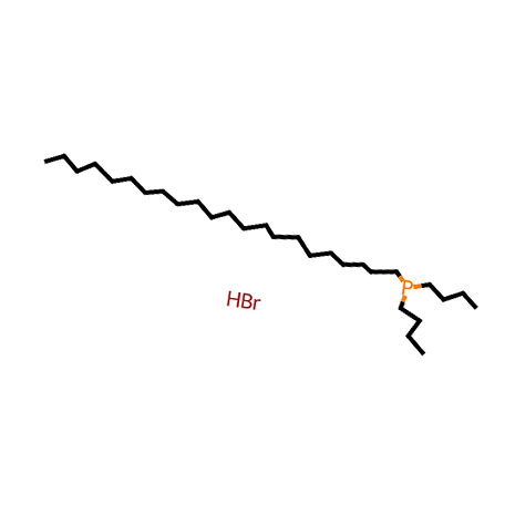 Br.CCCCCCCCCCCCCCCCCCCCCCP(CCCC)CCCC